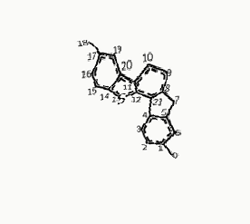 Cc1ccc2c(c1)Cc1ccc3c(sc4ccc(C)cc43)c1-2